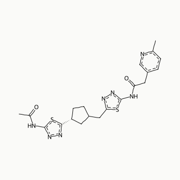 CC(=O)Nc1nnc([C@@H]2CCC(Cc3nnc(NC(=O)Cc4ccc(C)nc4)s3)C2)s1